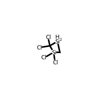 ClC1(Cl)[SiH2]C[Si]1(Cl)Cl